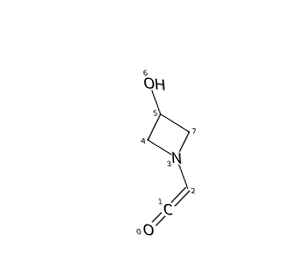 O=C=CN1CC(O)C1